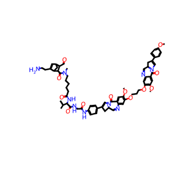 COc1ccc(C2=CN3C(=O)c4cc(OC)c(OCCCOc5cc6c(cc5OC)C(=O)N5C=C(c7ccc(NC(=O)CNC(=O)C(NC(=O)CCCCCN(C)C(=O)C8C9CC(C=C9CCN)C8C=O)C(C)C)cc7)CC5C=N6)cc4N=CC3C2)cc1